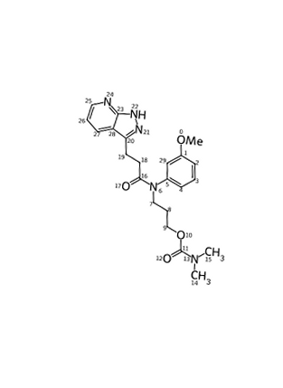 COc1cccc(N(CCCOC(=O)N(C)C)C(=O)CCc2n[nH]c3ncccc23)c1